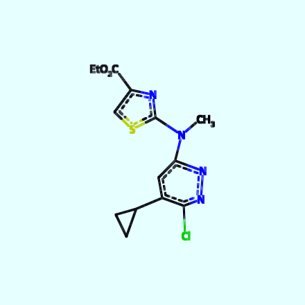 CCOC(=O)c1csc(N(C)c2cc(C3CC3)c(Cl)nn2)n1